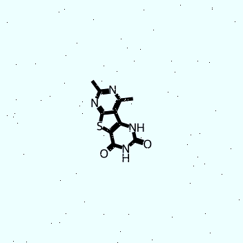 Cc1nc(C)c2c(n1)sc1c(=O)[nH]c(=O)[nH]c12